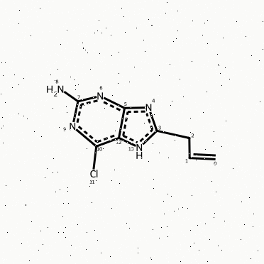 C=CCc1nc2nc(N)nc(Cl)c2[nH]1